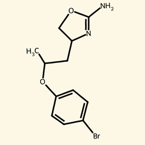 CC(CC1COC(N)=N1)Oc1ccc(Br)cc1